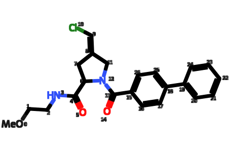 COCCNC(=O)C1CC(=CCl)CN1C(=O)c1ccc(-c2ccccc2)cc1